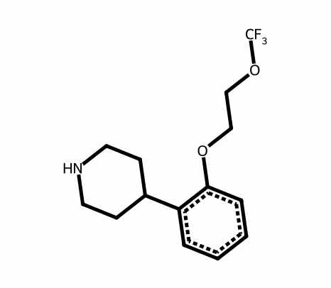 FC(F)(F)OCCOc1ccccc1C1CCNCC1